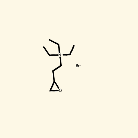 CC[N+](CC)(CC)CCC1CO1.[Br-]